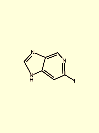 Ic1cc2[nH]cnc2cn1